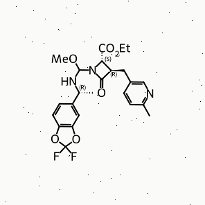 CCOC(=O)[C@@H]1[C@@H](Cc2ccc(C)nc2)C(=O)N1C(N[C@H](C)c1ccc2c(c1)OC(F)(F)O2)OC